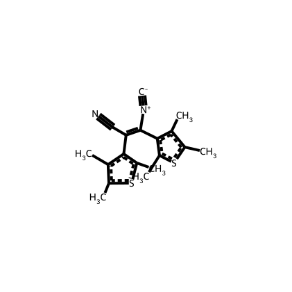 [C-]#[N+]/C(=C(\C#N)c1c(C)sc(C)c1C)c1c(C)sc(C)c1C